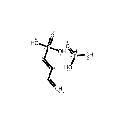 C=CC=CP(=O)(O)O.O=[PH](O)O